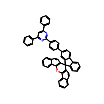 c1ccc(-c2cc(-c3ccccc3)nc(-c3ccc(-c4ccc5c(c4)C4(c6ccccc6-5)c5ccc6ccccc6c5Oc5c4ccc4ccccc54)cc3)n2)cc1